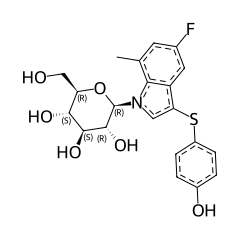 Cc1cc(F)cc2c(Sc3ccc(O)cc3)cn([C@@H]3O[C@H](CO)[C@@H](O)[C@H](O)[C@H]3O)c12